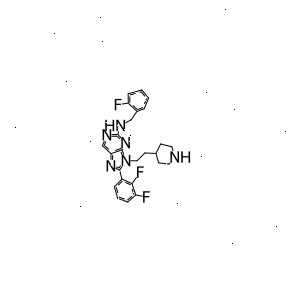 Fc1ccccc1CNc1ncc2nc(-c3cccc(F)c3F)n(CCC3CCNCC3)c2n1